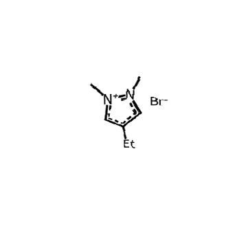 CCc1cn(C)[n+](C)c1.[Br-]